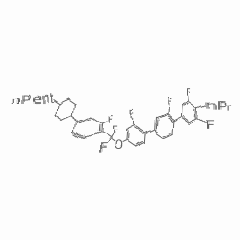 CCCCCC1CCC(c2ccc(C(F)(F)Oc3ccc(-c4ccc(-c5cc(F)c(CCC)c(F)c5)c(F)c4)c(F)c3)c(F)c2)CC1